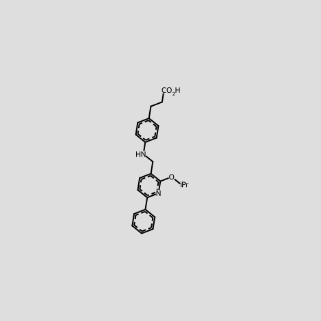 CC(C)Oc1nc(-c2ccccc2)ccc1CNc1ccc(CCC(=O)O)cc1